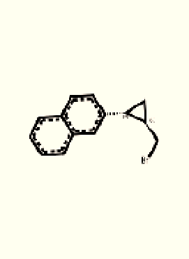 BrC[C@@H]1C[C@H]1c1ccc2ccccc2c1